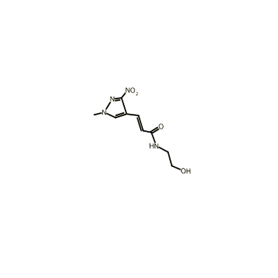 Cn1cc(C=CC(=O)NCCO)c([N+](=O)[O-])n1